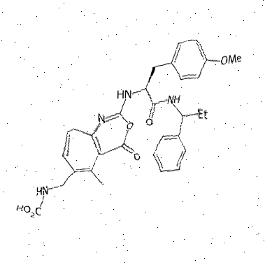 CCC(NC(=O)[C@H](Cc1ccc(OC)cc1)Nc1nc2ccc(CNC(=O)O)c(C)c2c(=O)o1)c1ccccc1